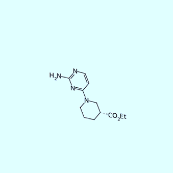 CCOC(=O)[C@@H]1CCCN(c2ccnc(N)n2)C1